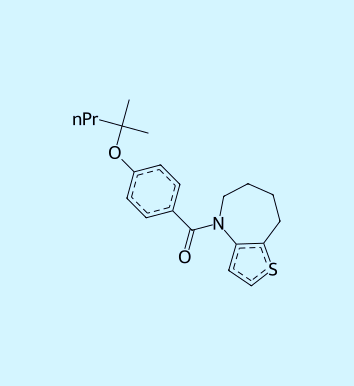 CCCC(C)(C)Oc1ccc(C(=O)N2CCCCc3sccc32)cc1